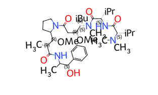 CC[C@H](C)[C@@H]([C@@H](CC(=O)N1CCCC1[C@H](OC)[C@@H](C)C(=O)NC(C)[C@@H](O)c1ccccc1)OC)N(C)C(=O)[C@@H](NC(=O)[C@H](C(C)C)N(C)C)C(C)C